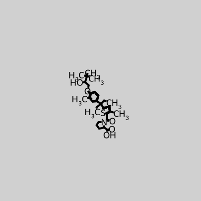 CCC(CC)(c1ccc(OCC(O)C(C)(C)C)c(C)c1)c1cc(C)c(C(=O)N2CCCC2C(=O)O)s1